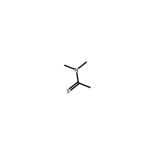 CC(=S)N(C)C